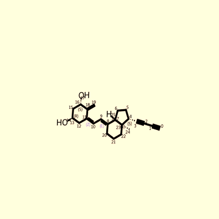 C#CC#C[C@H]1CC[C@H]2/C(=C/C=C3/C[C@@H](O)C[C@H](O)C3=C)CCC[C@]12C